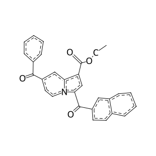 CCOC(=O)c1cc(C(=O)c2ccc3ccccc3c2)n2ccc(C(=O)c3ccccc3)cc12